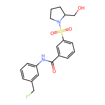 O=C(Nc1cccc(CF)c1)c1cccc(S(=O)(=O)N2CCCC2CO)c1